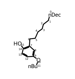 CCCCCCCCCCCCCCCCc1cc(OCCCC)ccc1O